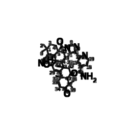 CC1(C)CC[C@]2(C(=O)n3cnc(-c4cc(C(N)=O)ccn4)c3)CC[C@]3(C)[C@H](C(=O)C=C4[C@@]5(C)C=CC(=O)C(C)(C)C5CC[C@]43C)C2C1C#N